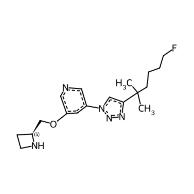 CC(C)(CCCCF)c1cn(-c2cncc(OC[C@@H]3CCN3)c2)nn1